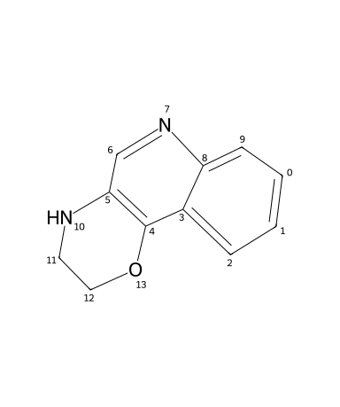 c1ccc2c3c(cnc2c1)NCCO3